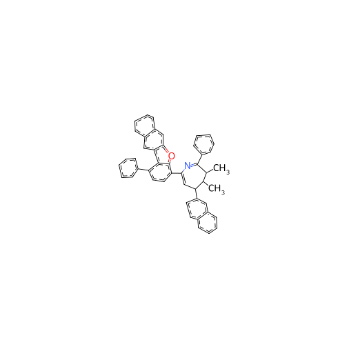 CC1C(c2ccccc2)=NC(c2ccc(-c3ccccc3)c3c2oc2cc4ccccc4cc23)=CC(c2ccc3ccccc3c2)C1C